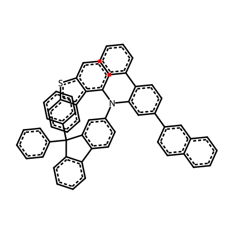 c1ccc(-c2ccc(-c3ccc4ccccc4c3)cc2N(c2ccc3c(c2)C(c2ccccc2)(c2ccccc2)c2ccccc2-3)c2cccc3sc4ccccc4c23)cc1